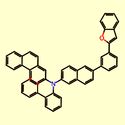 c1ccc(-c2ccccc2N(c2ccc3cc(-c4cccc(-c5cc6ccccc6o5)c4)ccc3c2)c2ccc3c(ccc4ccccc43)c2)cc1